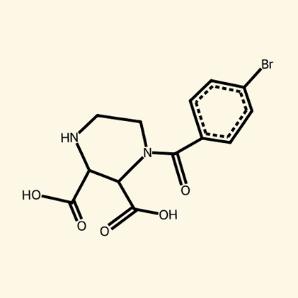 O=C(O)C1NCCN(C(=O)c2ccc(Br)cc2)C1C(=O)O